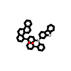 c1ccc(-c2ccccc2N(c2ccc(-c3cccc4ccc5c6ccccc6ccc5c34)cc2)c2ccc3c(c2)oc2ccccc23)cc1